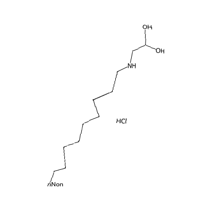 CCCCCCCCCCCCCCCCCCNCC(O)O.Cl